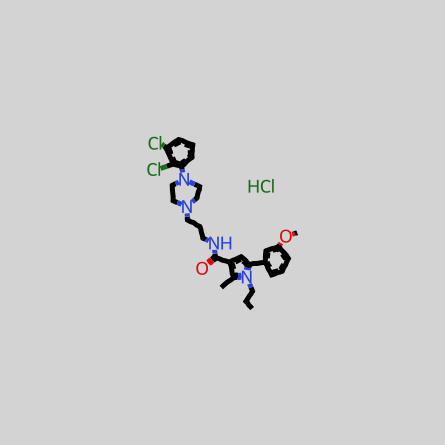 CCCn1c(-c2cccc(OC)c2)cc(C(=O)NCCCN2CCN(c3cccc(Cl)c3Cl)CC2)c1C.Cl